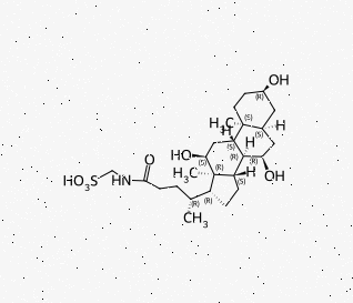 C[C@H](CCC(=O)NCS(=O)(=O)O)[C@H]1CC[C@H]2[C@@H]3[C@H](O)C[C@@H]4C[C@H](O)CC[C@]4(C)[C@H]3C[C@H](O)[C@]12C